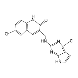 O=c1[nH]c2ccc(Cl)cc2cc1CNc1nc(Cl)c2cc[nH]c2n1